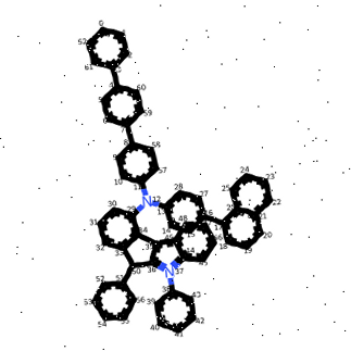 c1ccc(-c2ccc(-c3ccc(N(c4ccc(-c5cccc6ccccc56)cc4)c4cccc5c4-c4c(n(-c6ccccc6)c6ccccc46)C5c4ccccc4)cc3)cc2)cc1